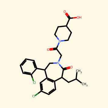 CC(C)CC1C(=O)N(CC(=O)N2CCC(C(=O)O)CC2)CC(c2ccccc2Cl)c2cc(Cl)ccc21